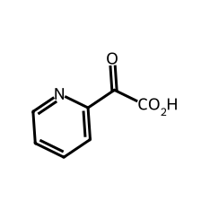 O=C(O)C(=O)c1ccccn1